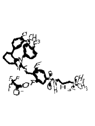 COc1cc(C2CCCc3nc(SCc4c(F)cc(S(=O)(=O)NCCC[N+](C)(C)C)cc4F)n(-c4ccc(F)cc4)c32)ccc1Cl.O=C([O-])C(F)(F)F